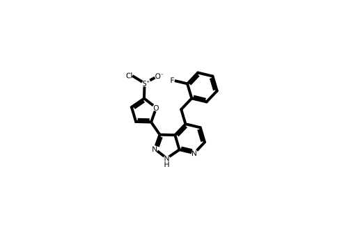 [O-][S+](Cl)c1ccc(-c2n[nH]c3nccc(Cc4ccccc4F)c23)o1